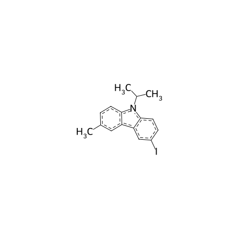 Cc1ccc2c(c1)c1cc(I)ccc1n2C(C)C